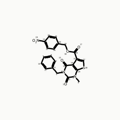 Cn1c(=O)n(Cc2ccccc2)c(=O)c2c(C(=O)OCc3ccc([N+](=O)[O-])cc3)csc21